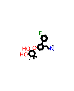 C[C@@H]1[C@@H](O)[C@@H](O)[C@H](Oc2ccc(CCN(C)C)c(-c3cccc(F)c3)c2)CC1(C)C